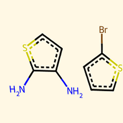 Brc1cccs1.Nc1ccsc1N